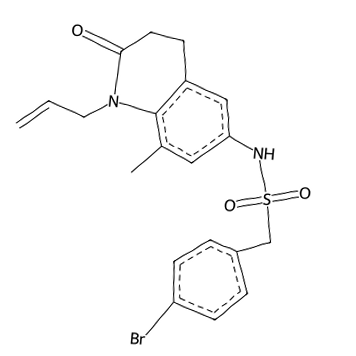 C=CCN1C(=O)CCc2cc(NS(=O)(=O)Cc3ccc(Br)cc3)cc(C)c21